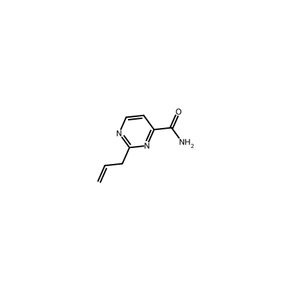 C=CCc1nccc(C(N)=O)n1